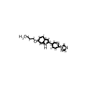 CCCCOc1ccc2cc(-c3ccc(-n4cncn4)nc3)[nH]c2c1